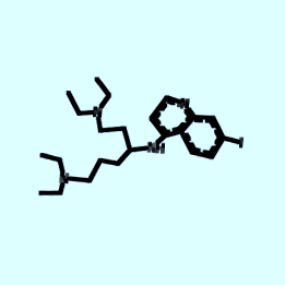 CCN(CC)CCCC(CCN(CC)CC)Nc1ccnc2cc(I)ccc12